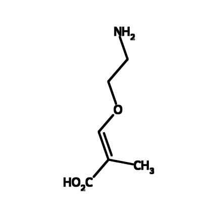 CC(=COCCN)C(=O)O